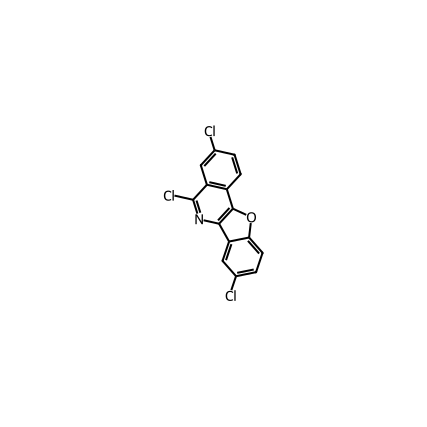 Clc1ccc2c(c1)c(Cl)nc1c3cc(Cl)ccc3oc21